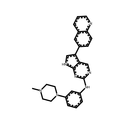 CN1CCN(c2cccc(Nc3ncc4c(-c5ccc6ncccc6c5)c[nH]c4n3)c2)CC1